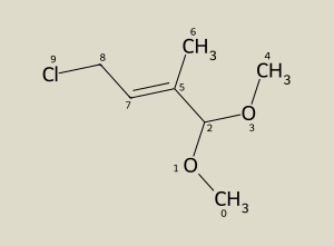 COC(OC)C(C)=CCCl